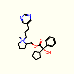 C[N+]1(CCCc2cncnc2)CCCC1COC(=O)[C@](O)(c1ccccc1)C1CCCC1